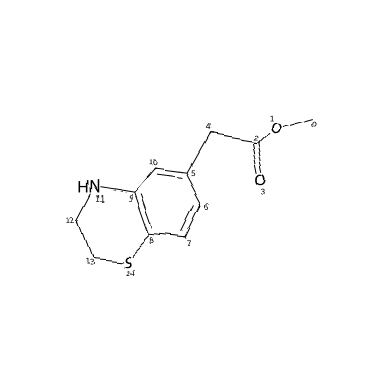 COC(=O)Cc1ccc2c(c1)NCCS2